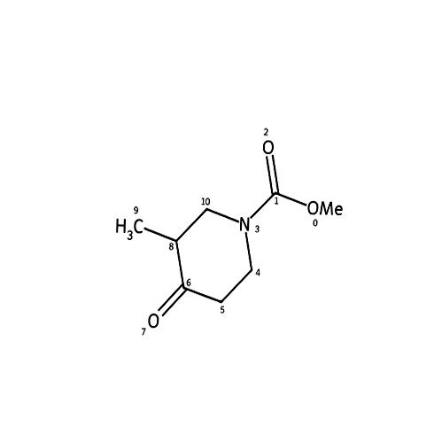 COC(=O)N1CCC(=O)C(C)C1